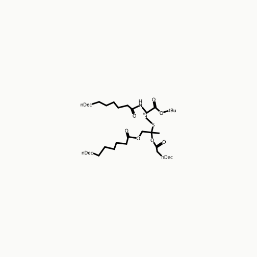 CCCCCCCCCCCCCCCC(=O)N[C@@H](CSC(C)(COC(=O)CCCCCCCCCCCCCCC)OC(=O)CCCCCCCCCCC)C(=O)OC(C)(C)C